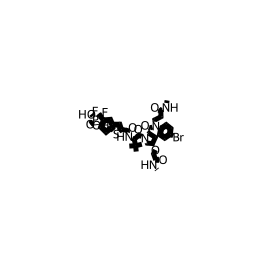 CNC(=O)CCN(C(=O)[C@@H]1C[C@@H](OCC(=O)NC)CN1C(=O)C(NC(=O)c1cc2cc(C(F)(F)P(=O)(O)O)ccc2s1)C(C)(C)C)c1ccc(Br)cc1